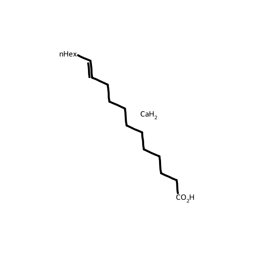 CCCCCC/C=C/CCCCCCCCCC(=O)O.[CaH2]